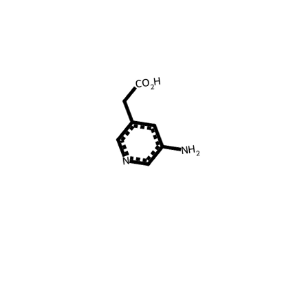 Nc1cncc(CC(=O)O)c1